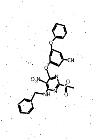 CS(=O)(=O)c1nc(NCc2ccccc2)c([N+](=O)[O-])c(Oc2cc(C#N)cc(Oc3ccccc3)c2)n1